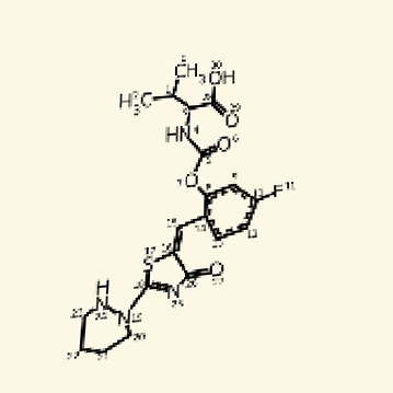 CC(C)[C@H](NC(=O)Oc1cc(F)ccc1/C=C1/SC(N2CCCCN2)=NC1=O)C(=O)O